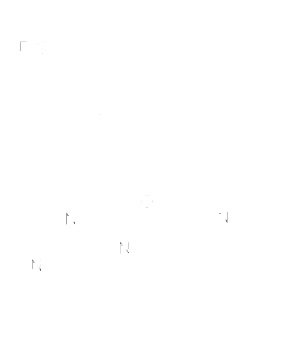 FC(F)(F)c1cccc(C#Cc2nc3ncccc3nc2OCCN2CCCC2)c1